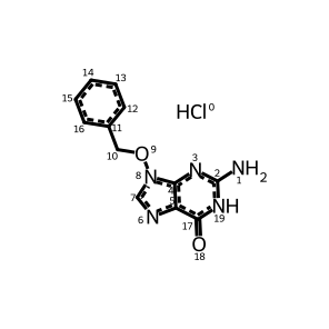 Cl.Nc1nc2c(ncn2OCc2ccccc2)c(=O)[nH]1